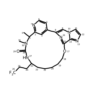 CC1c2cc(ccn2)-c2cn3ccnc3c(n2)OCCCCCC(CCC(F)(F)F)NC(=O)N1C